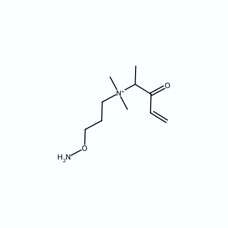 C=CC(=O)C(C)[N+](C)(C)CCCON